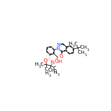 CC(C)(C)c1ccc2c(=O)n(-c3cccc(B4OC(C)(C)C(C)(C)O4)c3CO)ncc2c1